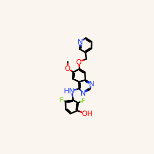 COc1cc2c(Nc3c(F)ccc(O)c3F)ncnc2cc1OCc1cccnc1